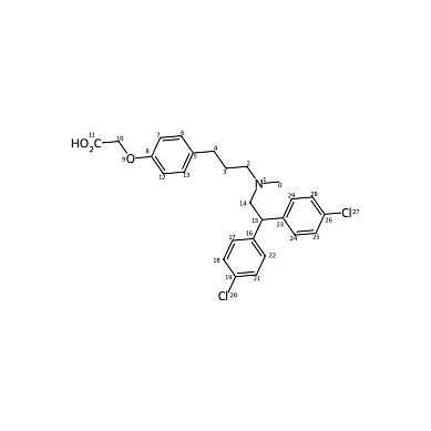 CN(CCCc1ccc(OCC(=O)O)cc1)CC(c1ccc(Cl)cc1)c1ccc(Cl)cc1